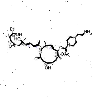 CC[C@H](O)[C@@H](C)[C@H]1O[C@@H]1C[C@@](C)(O)/C=C/C=C(\C)[C@H]1OC(=O)C[C@H](O)CC[C@@](C)(OC(C)=O)[C@H](OC(=O)N2CCN(CCN)CC2)/C=C/[C@@H]1C